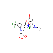 COCC1C(c2ccc(C(F)(F)F)cc2N2CCC(C(=O)O)CC2)CCN1C(=O)[C@]1(F)CN(C2CCCC2)C[C@H]1c1ccc(OC)cc1